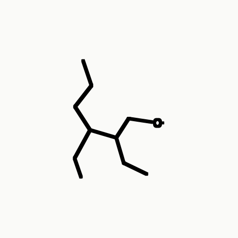 CCCC(CC)C(CC)C[O]